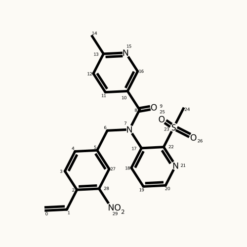 C=Cc1ccc(CN(C(=O)c2ccc(C)nc2)c2cccnc2S(C)(=O)=O)cc1[N+](=O)[O-]